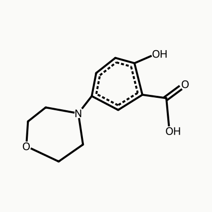 O=C(O)c1cc(N2CCOCC2)ccc1O